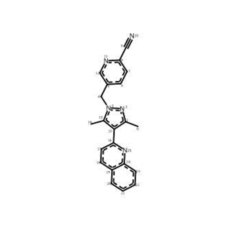 Cc1nn(Cc2ccc(C#N)nc2)c(C)c1-c1ccc2ccccc2n1